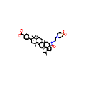 CC(C)[C@@H]1CC[C@]2(C(=O)NCCN3CCS(=O)(=O)CC3)CC[C@]3(C)[C@H](CC[C@@H]4[C@@]5(C)CC=C(c6ccc(C(=O)O)cc6)C(C)(C)[C@@H]5CC[C@]43C)[C@@H]12